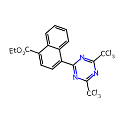 CCOC(=O)c1ccc(-c2nc(C(Cl)(Cl)Cl)nc(C(Cl)(Cl)Cl)n2)c2ccccc12